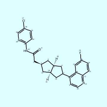 O=C(C[C@H]1C[C@H]2CC(c3ccnc4ccc(F)cc34)C[C@H]2C1)Nc1ccc(Cl)cn1